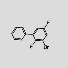 Fc1cc(Br)c(F)c(-c2ccccc2)c1